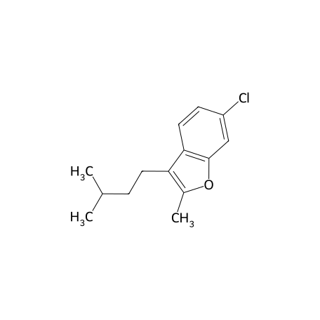 Cc1oc2cc(Cl)ccc2c1CCC(C)C